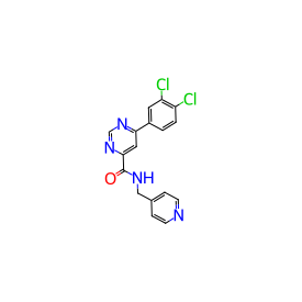 O=C(NCc1ccncc1)c1cc(-c2ccc(Cl)c(Cl)c2)ncn1